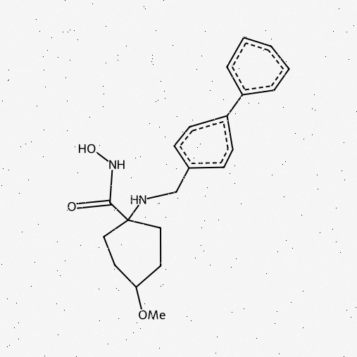 COC1CCC(NCc2ccc(-c3ccccc3)cc2)(C(=O)NO)CC1